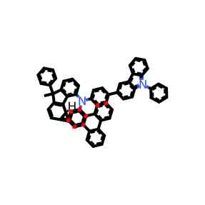 CC1(c2ccccc2)C2=C(c3c(N(c4ccc(-c5ccc6c(c5)c5ccccc5n6-c5ccccc5)cc4)c4ccccc4-c4ccccc4-c4ccccc4-c4ccccc4)cccc31)[C@@H]1C=C1C=C2